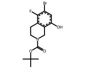 CC(C)(C)OC(=O)N1CCc2c(F)c(Br)cc(O)c2C1